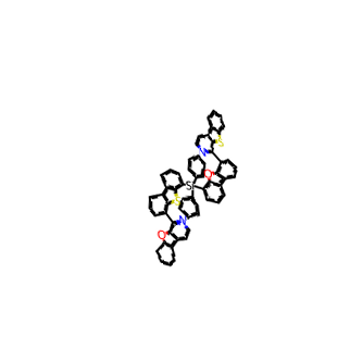 c1ccc([Si](c2ccccc2)(c2cccc3c2oc2c(-c4nccc5c4sc4ccccc45)cccc23)c2cccc3c2sc2c(-c4nccc5c4oc4ccccc45)cccc23)cc1